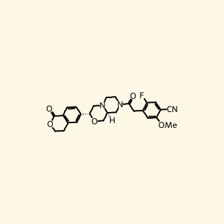 COc1cc(CC(=O)N2CCN3C[C@@H](c4ccc5c(c4)CCOC5=O)OC[C@@H]3C2)c(F)cc1C#N